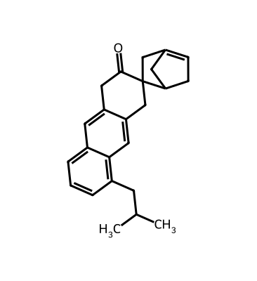 CC(C)Cc1cccc2cc3c(cc12)CC1(CC2=CCC1C2)C(=O)C3